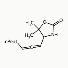 CCCCCC=C=CC1NC(=O)OC1(C)C